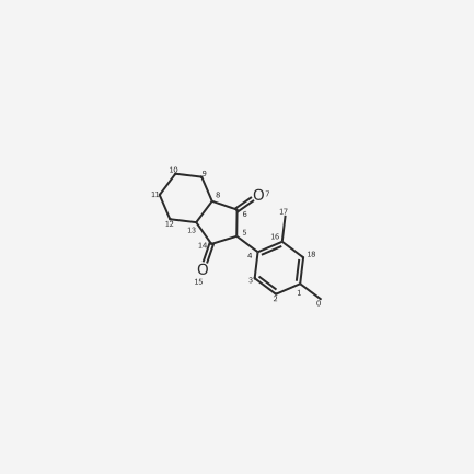 Cc1ccc(C2C(=O)C3CCCCC3C2=O)c(C)c1